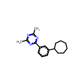 Cc1nc(C)nc(-c2cccc(C3CCCCCC3)c2)n1